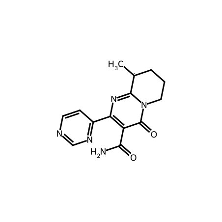 C[C]1CCCn2c1nc(-c1ccncn1)c(C(N)=O)c2=O